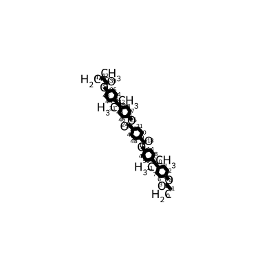 C=CC(=O)OC1CCC(C(C)(C)C2CCC(OC(=O)C3CCC(C(=O)OC4CCC(C(C)(C)C5CCC(OC(=O)C(=C)C)CC5)CC4)CC3)CC2)CC1